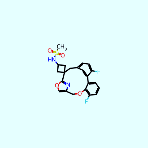 CS(=O)(=O)NC1CC2(Cc3ccc(F)c(c3)-c3cccc(F)c3OCc3coc2n3)C1